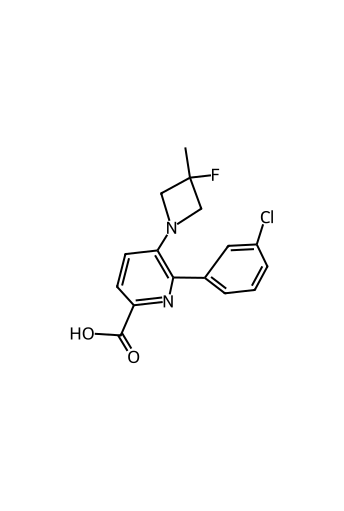 CC1(F)CN(c2ccc(C(=O)O)nc2-c2cccc(Cl)c2)C1